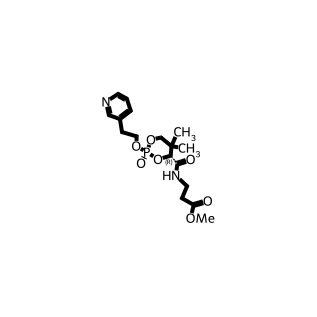 COC(=O)CCNC(=O)[C@@H]1OP(=O)(OCCc2cccnc2)OCC1(C)C